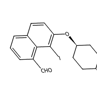 C[C@H]1CC[C@@H](Oc2ccc3cccc(C=O)c3c2I)CC1